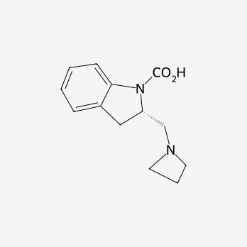 O=C(O)N1c2ccccc2C[C@H]1CN1CCC1